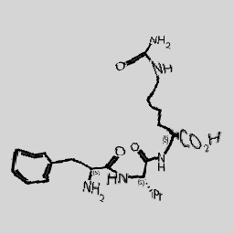 CC(C)[C@H](NC(=O)[C@@H](N)Cc1ccccc1)C(=O)N[C@@H](CCCNC(N)=O)C(=O)O